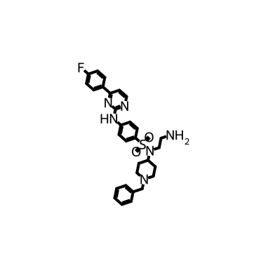 NCCN(C1CCN(Cc2ccccc2)CC1)S(=O)(=O)c1ccc(Nc2nccc(-c3ccc(F)cc3)n2)cc1